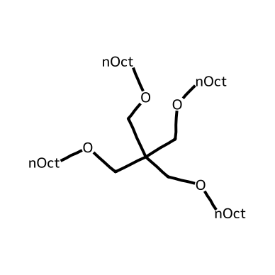 CCCCCCCCOCC(COCCCCCCCC)(COCCCCCCCC)COCCCCCCCC